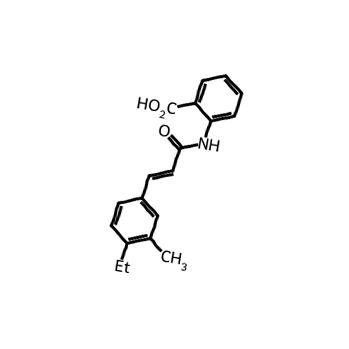 CCc1ccc(/C=C/C(=O)Nc2ccccc2C(=O)O)cc1C